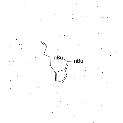 C=CCCCC1=CC=CC1=C(CCCC)CCCC